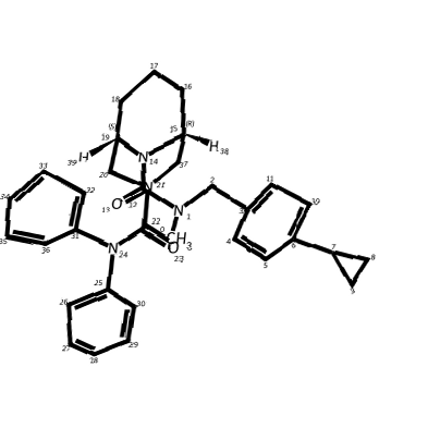 CN(Cc1ccc(C2CC2)cc1)C(=O)N1[C@@H]2CCC[C@H]1CN(C(=O)N(c1ccccc1)c1ccccc1)C2